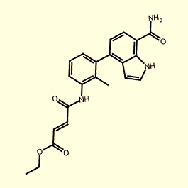 CCOC(=O)/C=C/C(=O)Nc1cccc(-c2ccc(C(N)=O)c3[nH]ccc23)c1C